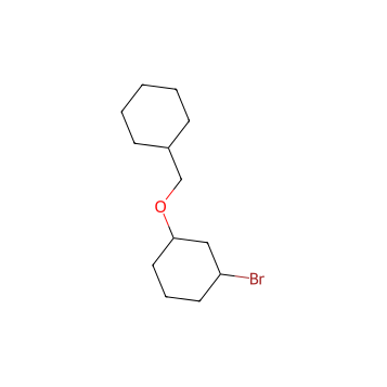 BrC1CCCC(OCC2CCCCC2)C1